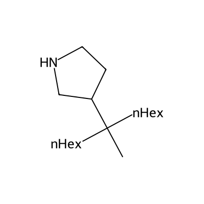 CCCCCCC(C)(CCCCCC)C1CCNC1